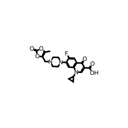 Cc1oc(=O)oc1CN1CCN(c2cc3c(cc2F)c(=O)c(C(=O)O)cn3C2CC2)CC1